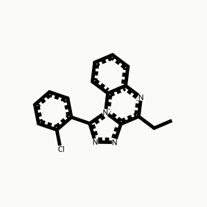 CCc1nc2ccccc2n2c(-c3ccccc3Cl)nnc12